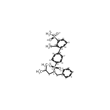 CC(C)CN(Cc1ccccc1)S(=O)(=O)c1ccc(-c2cccc(S(C)(=O)=O)c2N)cc1